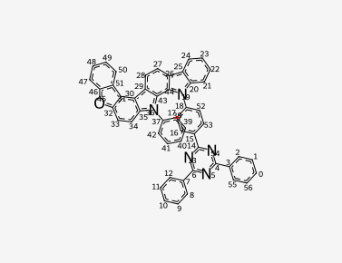 c1ccc(-c2nc(-c3ccccc3)nc(-c3ccc(-n4c5ccccc5c5ccc6c7c8c(ccc7n(-c7ccccc7)c6c54)oc4ccccc48)cc3)n2)cc1